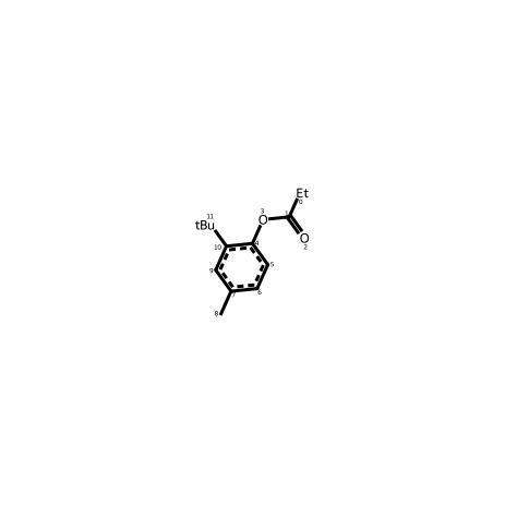 CCC(=O)Oc1ccc(C)cc1C(C)(C)C